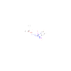 Cc1cc2c(cc1Br)[n+]([O-])c(NCCC(=O)OC(C)C)n[n+]2[O-]